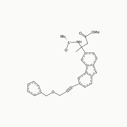 COC(=O)CC(C)(N[S@+]([O-])C(C)(C)C)c1ccc2sc3ccc(C#CCOCc4ccccc4)cc3c2c1